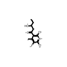 CCC(O)CC(=O)c1c(Cl)nc(Cl)c(F)c1C